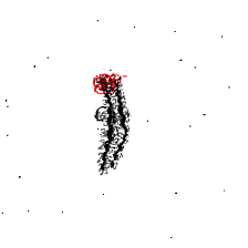 CCCCCCCCCCCCCCCCCC(=O)CC(=O)[O-].CCCCCCCCCCCCCCCCCC(=O)CC(=O)[O-].[Ca+2]